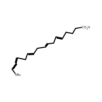 CCCCC=C=CCC=CCC=CCC=CCCCC(=O)O